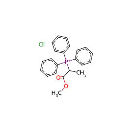 COC(=O)C(C)[P+](c1ccccc1)(c1ccccc1)c1ccccc1.[Cl-]